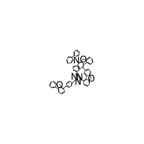 c1ccc(-c2nc(-c3ccc(-c4cccc5c4oc4ccccc45)cc3)nc(-c3cccc4oc5ccc(-c6ccc(-n7c8ccccc8c8ccccc87)c7oc8ccccc8c67)cc5c34)n2)cc1